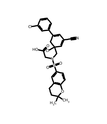 CC1(C)CCc2cc(S(=O)(=O)N(CC(=O)O)CC3(Cl)C=C(C#N)C=C(c4cccc(Cl)c4)C3)ccc2O1